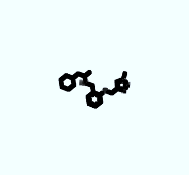 CC(CC1CCCCC1)NCc1ccccc1OCc1cn(C)nn1